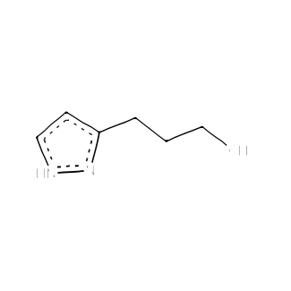 CCCCc1cc[nH]n1